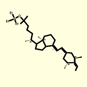 CC=C1[C@H](C)CC(=C/C=C2\CCC[C@@]3(C)C2CCC3[C@H](C)CCCC(C)(C)O[Si](CC)(CC)CC)C[C@H]1C